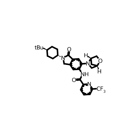 CC(C)(C)[C@H]1CC[C@H](N2Cc3cc(NC(=O)c4cccc(C(F)(F)F)n4)c(N4C[C@@H]5C[C@H]4CO5)cc3C2=O)CC1